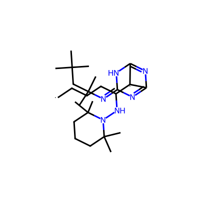 [CH2]CCCC(NN1C(C)(C)CCCC1(C)C)[C]1c2nc1[nH]c(=NC(C)(C)CC(C)(C)C)n2